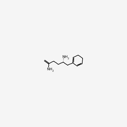 C=C(N)CC[C@H](N)CC1=CCCC=C1